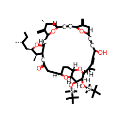 C=C1C[C@@H]2CCC(O)/C=C/[C@H](C)[C@@H]3O[C@H]4CC[C@H](CC(=O)CC5[C@H](CC6O[C@@H](CCC1O2)C[C@@H](C)C6=C)O[C@H](C[C@H](C)CC)[C@@H]5C)O[C@@H]4[C@H](O[Si](C)(C)C(C)(C)C)[C@@H]3O[Si](C)(C)C(C)(C)C